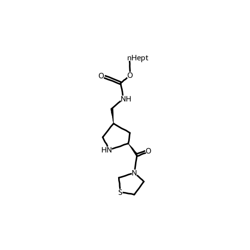 CCCCCCCOC(=O)NC[C@@H]1CN[C@H](C(=O)N2CCSC2)C1